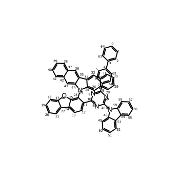 c1ccc(-c2ccc(-c3nc(-c4ccc5c(oc6ccccc65)c4-n4c5cc6ccccc6cc5c5cc6ccccc6cc54)nc(-n4c5ccccc5c5ccccc54)n3)cc2)cc1